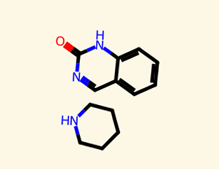 C1CCNCC1.O=c1ncc2ccccc2[nH]1